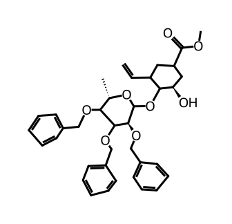 C=CC1CC(C(=O)OC)C[C@@H](O)C1OC1O[C@@H](C)C(OCc2ccccc2)C(OCc2ccccc2)[C@@H]1OCc1ccccc1